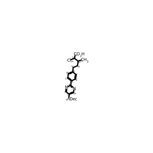 CCCCCCCCCCc1cnc(-c2ccc(CCC(C)C(Cl)C(=O)O)cc2)nc1